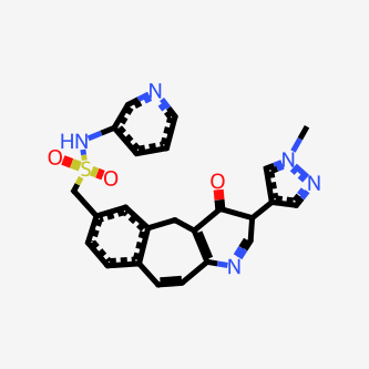 Cn1cc(C2C=NC3=C(Cc4cc(CS(=O)(=O)Nc5cccnc5)ccc4C=C3)C2=O)cn1